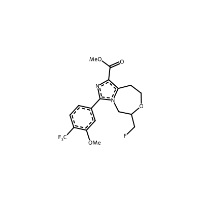 COC(=O)c1nc(-c2ccc(C(F)(F)F)c(OC)c2)n2c1CCOC(CF)C2